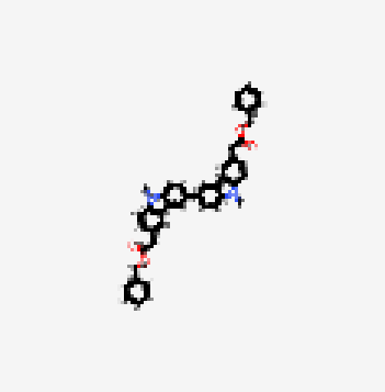 Cn1c2ccc(CC(=O)OCc3ccccc3)cc2c2cc(-c3ccc4c(c3)c3cc(CC(=O)OCc5ccccc5)ccc3n4C)ccc21